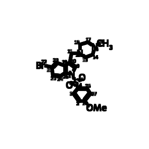 COc1ccc(S(=O)(=O)n2cc(CN3CCN(C)CC3)c3cc(Br)ccc32)cc1